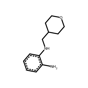 Nc1c[c]ccc1NCC1CCOCC1